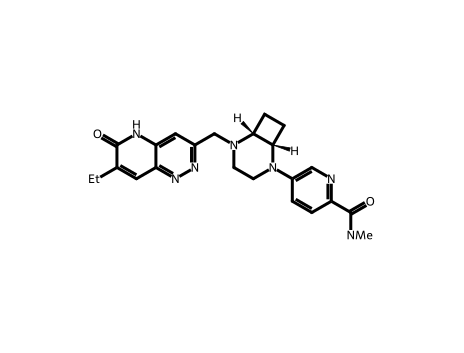 CCc1cc2nnc(CN3CCN(c4ccc(C(=O)NC)nc4)[C@H]4CC[C@H]43)cc2[nH]c1=O